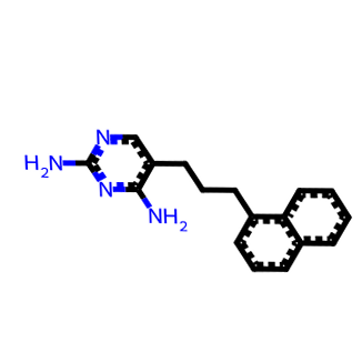 Nc1ncc(CCCc2cccc3ccccc23)c(N)n1